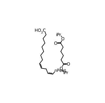 CC(C)OC(=O)CCCCC(=O)OC(C)C.CCCCC/C=C\C/C=C\CCCCCCCC(=O)O